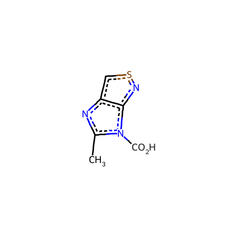 Cc1nc2csnc2n1C(=O)O